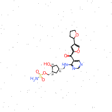 NS(=O)(=O)OC[C@H]1C[C@@H](CNc2ncncc2C(=O)c2cc(C3CCCO3)co2)C[C@@H]1O